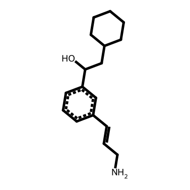 NC/C=C/c1cccc(C(O)CC2CCCCC2)c1